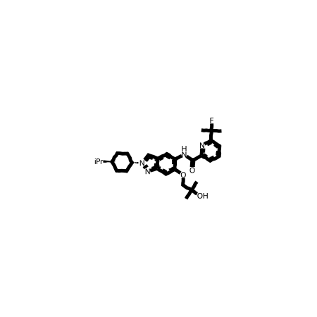 CC(C)[C@H]1CC[C@H](n2cc3cc(NC(=O)c4cccc(C(C)(C)F)n4)c(OCC(C)(C)O)cc3n2)CC1